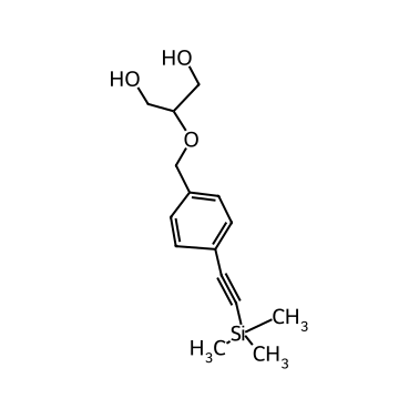 C[Si](C)(C)C#Cc1ccc(COC(CO)CO)cc1